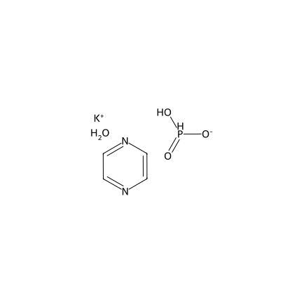 O.O=[PH]([O-])O.[K+].c1cnccn1